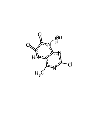 CC[C@@H](C)n1c(=O)c(=O)[nH]c2c(C)nc(Cl)nc21